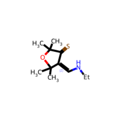 CCN/C=C1\C(=S)C(C)(C)OC1(C)C